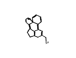 SCC1=CC2=C3C=CC=CC34C=CC=CC4=C3CCC(=C23)C1